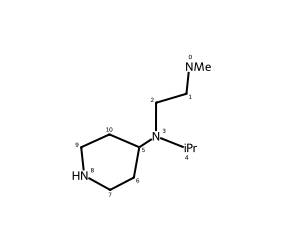 CNCCN(C(C)C)C1CCNCC1